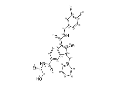 CC[C@@H](CO)NC(=O)c1ccc2c(C(=O)NCc3ccc(F)c(F)c3)c(C(C)C)n(Cc3ccccc3)c2c1